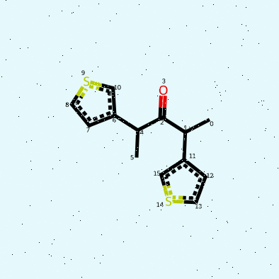 CC(C(=O)C(C)c1ccsc1)c1ccsc1